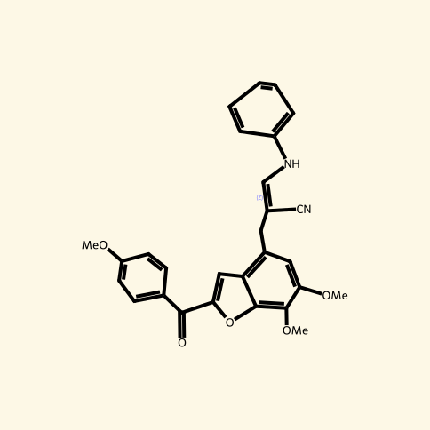 COc1ccc(C(=O)c2cc3c(C/C(C#N)=C/Nc4ccccc4)cc(OC)c(OC)c3o2)cc1